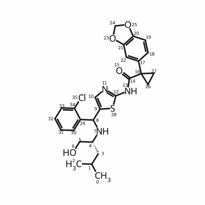 CC(C)C[C@H](CO)NC(c1cnc(NC(=O)C2(c3ccc4c(c3)OCO4)CC2)s1)c1ccccc1Cl